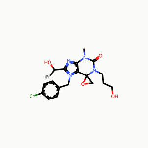 CC(C)C(O)c1nc2c(n1Cc1ccc(Cl)cc1)C1(CO1)N(CCCO)C(=O)N2C